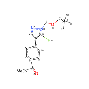 COC(=O)c1ccc(-c2cnn(COC[Si](C)(C)C)c2F)cc1